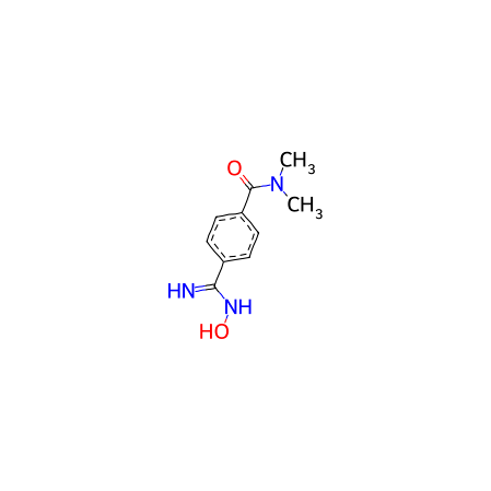 CN(C)C(=O)c1ccc(C(=N)NO)cc1